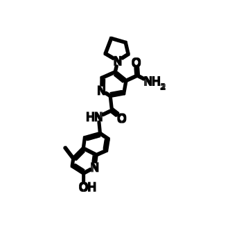 Cc1cc(O)nc2ccc(NC(=O)c3cc(C(N)=O)c(N4CCCC4)cn3)cc12